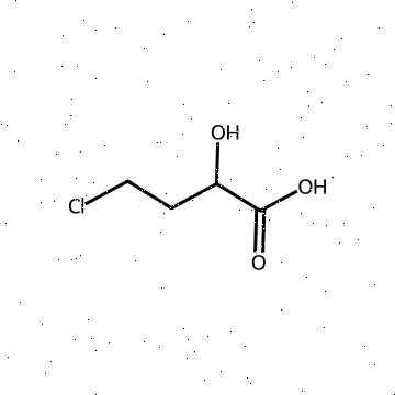 O=C(O)C(O)CCCl